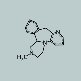 CN1CCN2c3cccnc3Cc3ccccc3C2C1